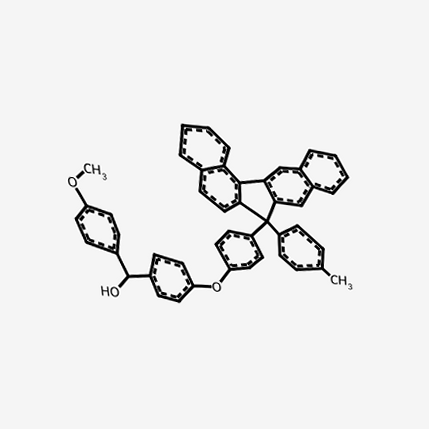 COc1ccc(C(O)c2ccc(Oc3ccc(C4(c5ccc(C)cc5)c5cc6ccccc6cc5-c5c4ccc4ccccc54)cc3)cc2)cc1